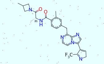 Cc1cc(Cc2nccn3c(C4=CCN=C4C(F)(F)F)cnc23)ccc1C(=O)N[C@H](C)C(=O)N1CC(C)C1